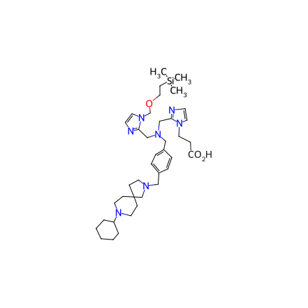 C[Si](C)(C)CCOCn1ccnc1CN(Cc1ccc(CN2CCC3(CCN(C4CCCCC4)CC3)C2)cc1)Cc1nccn1CCC(=O)O